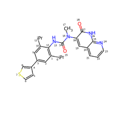 CC(C)c1cc(-c2ccsc2)cc(C(C)C)c1NC(=O)N(C)c1cc2cccnc2[nH]c1=O